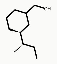 CC[C@H](C)[C@H]1CCCC(CO)C1